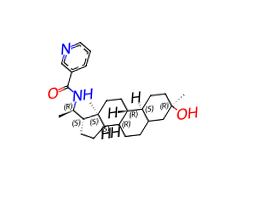 C[C@@H](NC(=O)c1cccnc1)[C@H]1CC[C@H]2[C@@H]3CCC4C[C@](C)(O)CC[C@@H]4[C@H]3CC[C@]12C